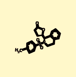 Cc1ccc(S(=O)(=O)N2CCc3ccccc3[C@@H]2[C@H]2CCC(=O)O2)cc1